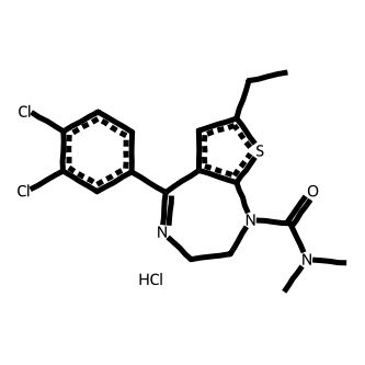 CCc1cc2c(s1)N(C(=O)N(C)C)CCN=C2c1ccc(Cl)c(Cl)c1.Cl